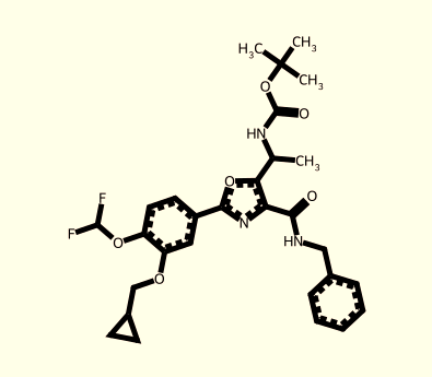 CC(NC(=O)OC(C)(C)C)c1oc(-c2ccc(OC(F)F)c(OCC3CC3)c2)nc1C(=O)NCc1ccccc1